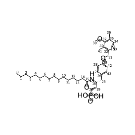 CCCCCCCCCCCCCCCC(=O)N[C@@H](C=CP(=O)(O)O)Cc1ccc(OCc2ncc(C)c(OC)c2C)cc1